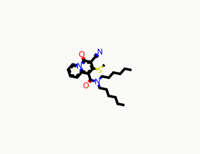 CCCCCCN(CCCCCC)C(=O)c1c(SC)c(C#N)c(=O)n2ccccc12